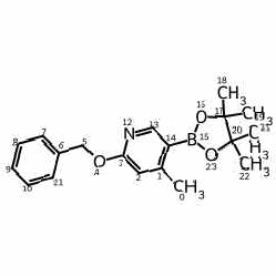 Cc1cc(OCc2ccccc2)ncc1B1OC(C)(C)C(C)(C)O1